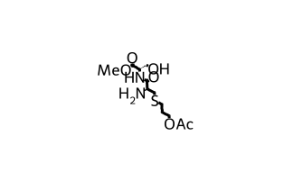 COC(=O)[C@H](CO)NC(=O)[C@@H](N)CSCCCOC(C)=O